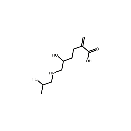 C=C(CCC(O)CNCC(C)O)C(=O)O